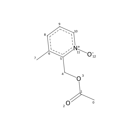 CC(=O)OCc1c(C)ccc[n+]1[O-]